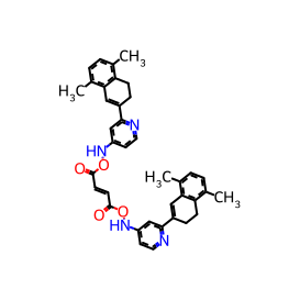 Cc1ccc(C)c2c1C=C(c1cc(NOC(=O)/C=C/C(=O)ONc3ccnc(C4=Cc5c(C)ccc(C)c5CC4)c3)ccn1)CC2